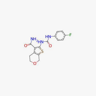 NC(=O)c1c(NC(=O)Nc2ccc(F)cc2)sc2c1CCOC2